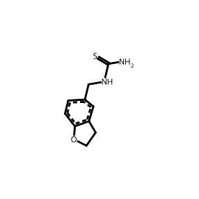 NC(=S)NCc1ccc2c(c1)CCO2